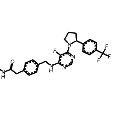 CNC(=O)Cc1ccc(CNc2ncnc(N3CCCC3c3ccc(C(F)(F)F)cc3)c2F)cc1